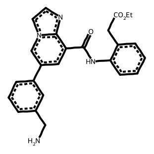 CCOC(=O)Cc1ccccc1NC(=O)c1cc(-c2cccc(CN)c2)cn2ccnc12